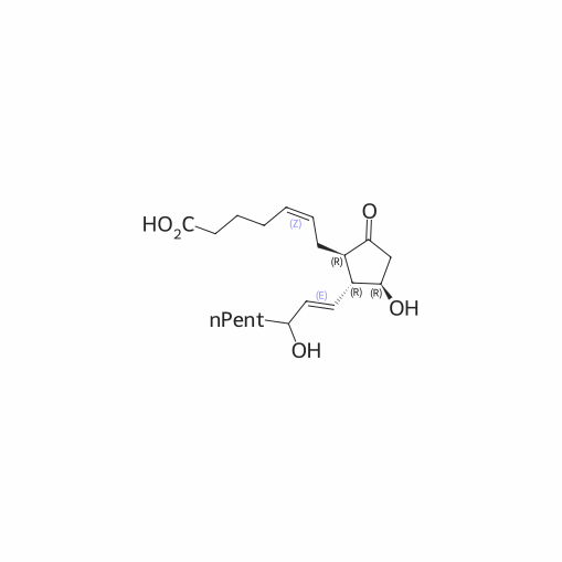 CCCCCC(O)/C=C/[C@H]1[C@H](O)CC(=O)[C@@H]1C/C=C\CCCC(=O)O